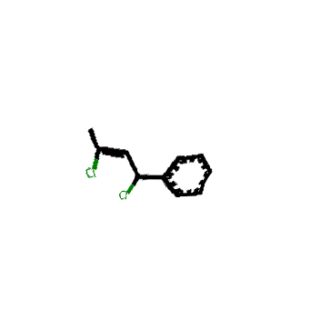 C/C(Cl)=C/C(Cl)c1ccccc1